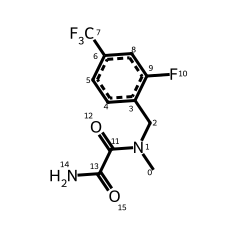 CN(Cc1ccc(C(F)(F)F)cc1F)C(=O)C(N)=O